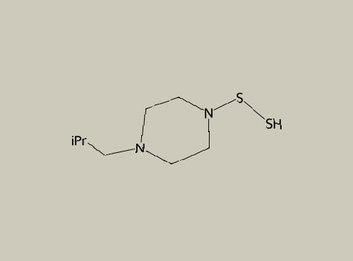 CC(C)CN1CCN(SS)CC1